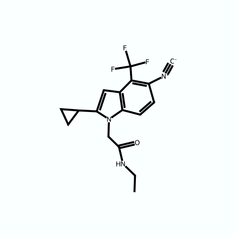 [C-]#[N+]c1ccc2c(cc(C3CC3)n2CC(=O)NCC)c1C(F)(F)F